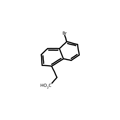 O=C(O)Cc1cccc2c(Br)cccc12